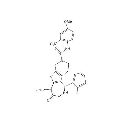 CCCC(C)N1C(=O)CNC(c2ccccc2Cl)c2c1sc1c2CCN(C(=S)Nc2ccc(OC)cc2[N+](=O)[O-])C1